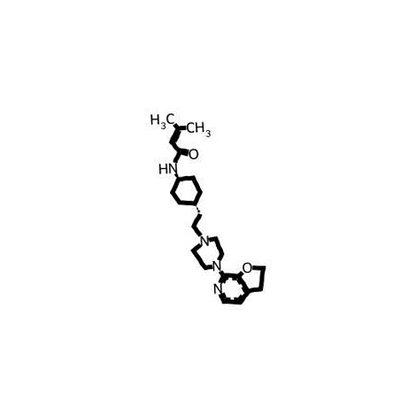 CC(C)=CC(=O)N[C@H]1CC[C@H](CCN2CCN(c3nccc4c3OCC4)CC2)CC1